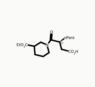 CCCCC[C@@H](CC(=O)O)C(=O)N1CCCC(C(=O)OCC)C1